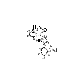 NC(=O)C(c1ccc(-c2ccccc2CCl)[nH]1)c1cccs1